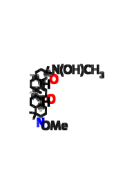 CON=C1CC[C@@]2(C)C(CC[C@]3(C)[C@@H]2C(=O)C=C2[C@@H]4C[C@@](C)(C(=O)N(C)O)CC[C@]4(C)CC[C@]23C)C1(C)C